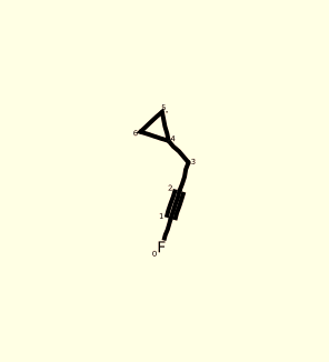 FC#CCC1[CH]C1